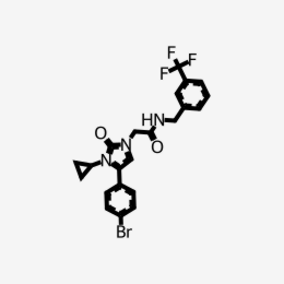 O=C(Cn1cc(-c2ccc(Br)cc2)n(C2CC2)c1=O)NCc1cccc(C(F)(F)F)c1